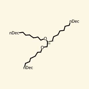 CCCCCCCCCCCCCCCC[CH][C@@H](COCCCCCCCCCCCCCCCC)OCCCCCCCCCCCCCCCC